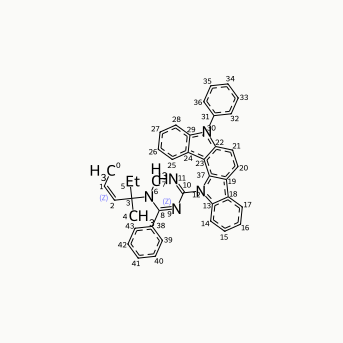 C/C=C\C(C)(CC)N(C)/C(=N\C(=N)n1c2ccccc2c2ccc3c(c4ccccc4n3-c3ccccc3)c21)c1ccccc1